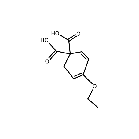 CCOC1=CCC(C(=O)O)(C(=O)O)C=C1